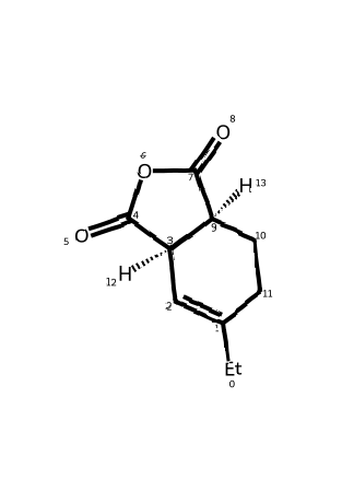 CCC1=C[C@H]2C(=O)OC(=O)[C@H]2CC1